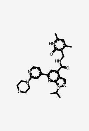 Cc1cc(C)c(CNC(=O)c2cc(-c3ccnc(N4CCOCC4)c3)nc3c2cnn3C(C)C)c(=O)[nH]1